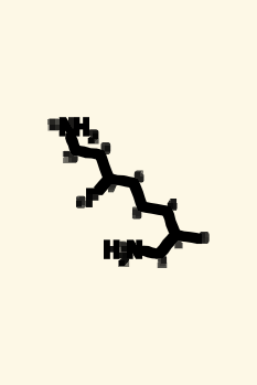 CC(CN)CCCC(F)CCN